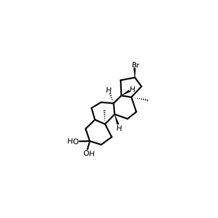 C[C@]12CC[C@H]3[C@@H](CCC4CC(O)(O)CC[C@@]43C)[C@@H]1C[C@@H](Br)C2